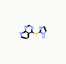 c1cnc2ncnc(Sc3ncc[nH]3)c2c1